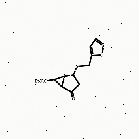 CCOC(=O)C1C2C(=O)CC(SCc3ccco3)C21